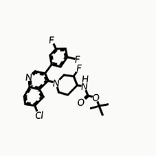 CC(C)(C)OC(=O)NC1CCN(c2c(-c3cc(F)cc(F)c3)cnc3ccc(Cl)cc23)CC1F